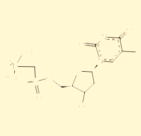 Cc1cn([C@H]2CC(O)[C@@H](COP(=O)(O)CP(=O)(O)O)O2)c(=O)[nH]c1=O